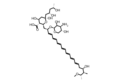 CO[C@@H](C)[C@H](C)[C@H](O)C/C=C/C=C/C=C/C=C/C=C/C=C/C=C/[C@@H](C[C@@H]1O[C@](O)(C[C@@H](O)C[C@H](C)O)C[C@H](O)[C@H]1C(=O)O)O[C@@H]1OC[C@@H](O)[C@H](N)[C@@H]1O